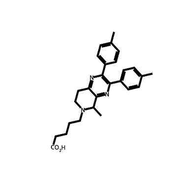 Cc1ccc(-c2nc3c(nc2-c2ccc(C)cc2)C(C)N(CCCCC(=O)O)CC3)cc1